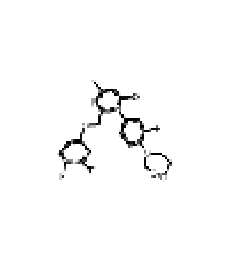 Cc1cc(=O)n(-c2ccc(N3CCOCC3)c(F)c2)c(COc2ccc(F)c(F)c2)n1